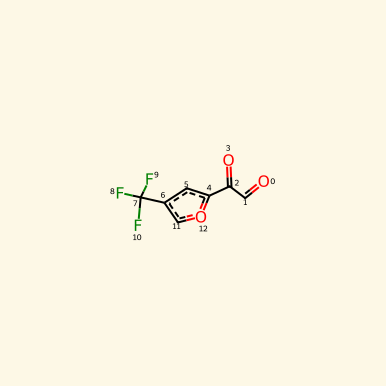 O=CC(=O)c1cc(C(F)(F)F)co1